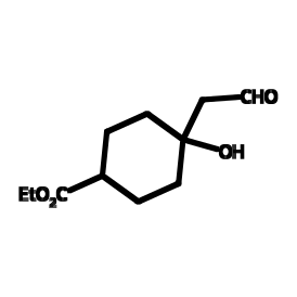 CCOC(=O)C1CCC(O)(CC=O)CC1